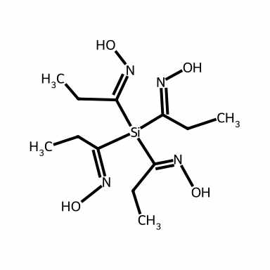 CCC(=NO)[Si](C(CC)=NO)(C(CC)=NO)C(CC)=NO